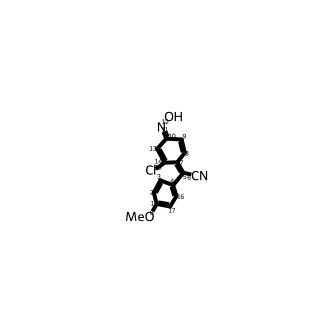 COc1ccc(C(C#N)=C2C=CC(=NO)C=C2Cl)cc1